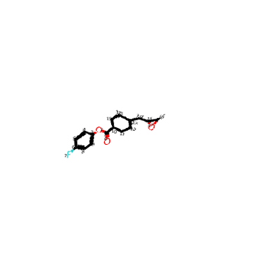 O=C(Oc1ccc(F)cc1)C1CCC(CC2CO2)CC1